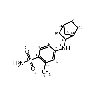 NS(=O)(=O)c1ccc(NC2CC3CCC2C3)cc1C(F)(F)F